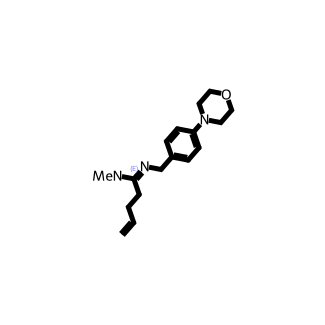 C=CCC/C(=N\Cc1ccc(N2CCOCC2)cc1)NC